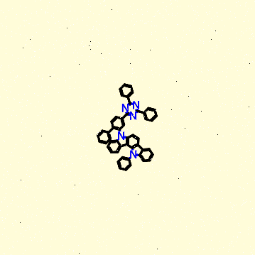 c1ccc(-c2nc(-c3ccccc3)nc(-c3ccc(-c4ccccc4)c(-n4c5ccccc5c5c4ccc4c6ccccc6n(-c6ccccc6)c45)c3)n2)cc1